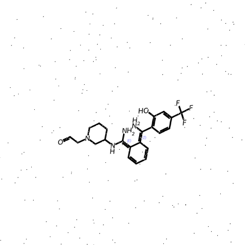 N/C(c1ccc(C(F)(F)F)cc1O)=c1/cccc/c1=C(/N)NC1CCCN(CC=O)C1